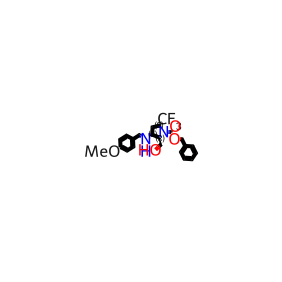 COc1ccc(CN[C@H]2C[C@@H](C(F)(F)F)N(C(=O)OCc3ccccc3)[C@H]2CO)cc1